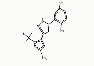 Cc1ccc(O)c(C2CC(c3cc(C)oc3C(F)(F)F)=NN2)c1